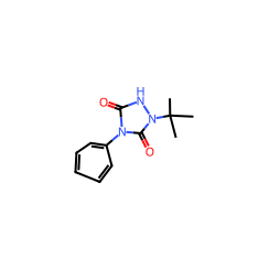 CC(C)(C)n1[nH]c(=O)n(-c2ccccc2)c1=O